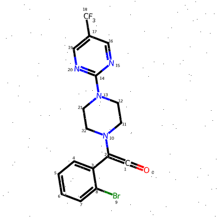 O=C=C(c1ccccc1Br)N1CCN(c2ncc(C(F)(F)F)cn2)CC1